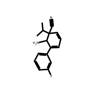 CC(C)C1(C#N)C=CC=C(c2cccc(F)c2)C1N